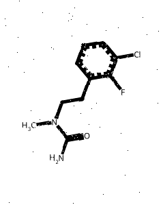 CN(C[CH]c1cccc(Cl)c1F)C(N)=O